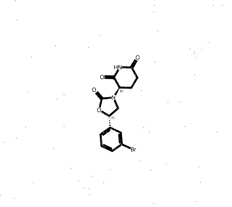 O=C1CC[C@@H](N2C[C@H](c3cccc(Br)c3)OC2=O)C(=O)N1